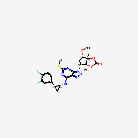 CCCO[C@H]1C[C@@H](n2nnc3c(N[C@@H]4C[C@H]4c4ccc(F)c(F)c4)nc(SCCC)nc32)[C@@H]2OC(=O)O[C@@H]21